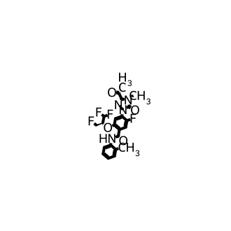 CC(=O)c1nn(-c2cc(O[C@@H](CF)C(F)F)c(C(=O)Nc3ccccc3C)cc2F)c(=O)n1C